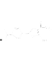 CCC(O)c1ccc(-c2cc(C(N)=O)c(N)s2)cc1